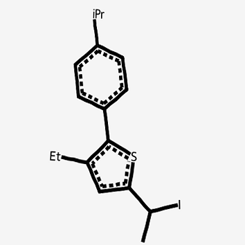 CCc1cc(C(C)I)sc1-c1ccc(C(C)C)cc1